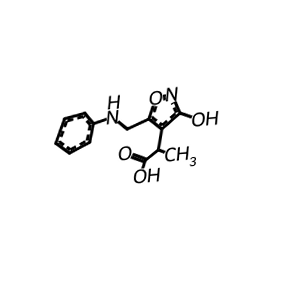 CC(C(=O)O)c1c(O)noc1CNc1ccccc1